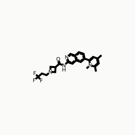 CC1=C=C(C)N(C)C(c2ccc3cnc(NC(=O)C4CN(CCC(F)(F)F)C4)cc3c2)=C1